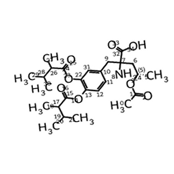 CC(=O)O[C@@H](C)CC(N)(Cc1ccc(OC(=O)C(C)C(C)C)c(OC(=O)C(C)C(C)C)c1)C(=O)O